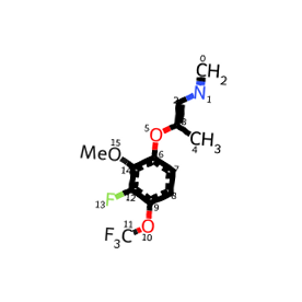 C=N/C=C(\C)Oc1ccc(OC(F)(F)F)c(F)c1OC